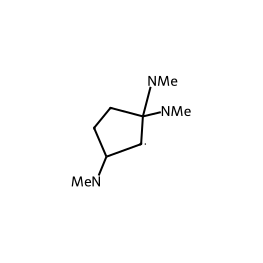 CNC1[CH]C(NC)(NC)CC1